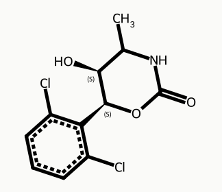 CC1NC(=O)O[C@@H](c2c(Cl)cccc2Cl)[C@H]1O